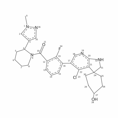 Cn1cc(C2CCCCN2C(=O)c2cccc(-c3cnc4c(c3Cl)C3(CCC(O)CC3)CN4)c2F)cn1